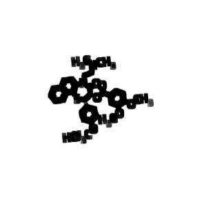 COc1ccc([C@@H]2Sc3c(ccc4ccccc34)N(CCN(C)C)C(=O)[C@@H]2OC(=O)c2ccc(OC)c(OC)c2)cc1.Cl